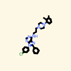 Cc1cccc(N2CCN(CCCNc3ncnc4c3nc(-c3ccccc3)n4-c3ccc(Cl)cc3)CC2)c1C